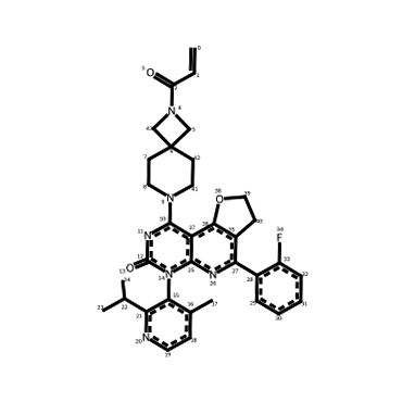 C=CC(=O)N1CC2(CCN(c3nc(=O)n(-c4c(C)ccnc4C(C)C)c4nc(-c5ccccc5F)c5c(c34)OCC5)CC2)C1